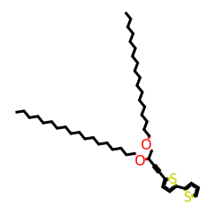 CCCCCCCCCCCCCCCCCCOCC(C#Cc1ccc(-c2cccs2)s1)OCCCCCCCCCCCCCCCCCC